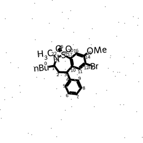 CCCCC1CC(c2ccccc2)c2cc(Br)c(OC)cc2S(=O)(=O)N1C